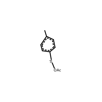 CC(=O)[O][Tl][c]1ccc(C)cc1